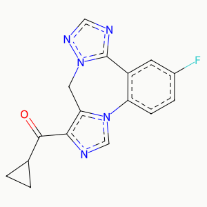 O=C(c1ncn2c1Cn1ncnc1-c1cc(F)ccc1-2)C1CC1